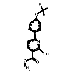 COC(=O)c1ccc(-c2ccc(OC(F)(F)F)cc2)nc1C